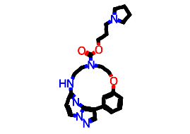 O=C(OCCCN1CCCC1)N1CCNc2ccn3ncc(c3n2)-c2cccc(c2)OCC1